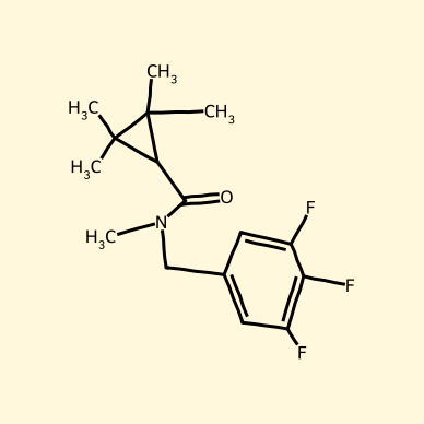 CN(Cc1cc(F)c(F)c(F)c1)C(=O)C1C(C)(C)C1(C)C